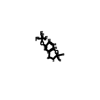 CC1(C)C[C]c2cc(OC(F)(F)F)ccc2O1